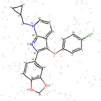 Clc1ccc(Sc2c3cccn(CC4CC4)c-3nc2-c2ccc3c(c2)OCO3)cc1